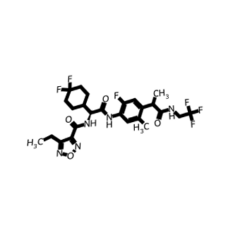 CCc1nonc1C(=O)N[C@H](C(=O)Nc1cc(C)c(C(C)C(=O)NCC(F)(F)F)cc1F)C1CCC(F)(F)CC1